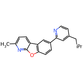 Cc1ccc2c(n1)oc1ccc(-c3cc(CC(C)C)ccn3)cc12